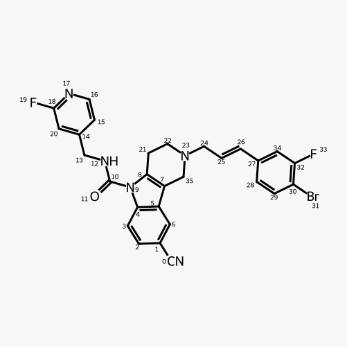 N#Cc1ccc2c(c1)c1c(n2C(=O)NCc2ccnc(F)c2)CCN(CC=Cc2ccc(Br)c(F)c2)C1